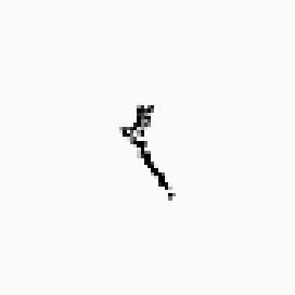 CCCCCCCCCCCC[N+](CC)(CC)CCCS(=O)(=O)O